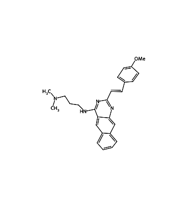 COc1ccc(C=Cc2nc(NCCCN(C)C)c3cc4ccccc4cc3n2)cc1